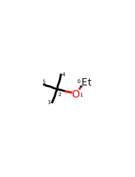 [CH]COC(C)(C)C